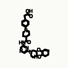 O=C(O)Cc1ccc(N2CCC(C(=O)Nc3cncc(N4CCCC(OC5=C(O)CCC=C5)C4)n3)CC2)cc1